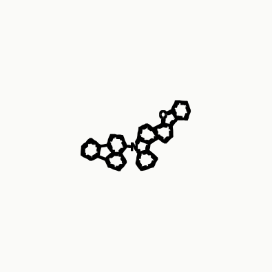 c1ccc2c(c1)-c1cccc3c(-n4c5ccccc5c5c6ccc7c8ccccc8oc7c6ccc54)ccc-2c13